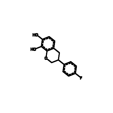 Oc1ccc2c(c1O)OCC(c1ccc(F)cc1)C2